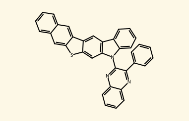 c1ccc(-c2nc3ccccc3nc2-n2c3ccccc3c3cc4c(cc32)sc2cc3ccccc3cc24)cc1